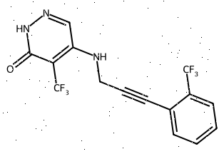 O=c1[nH]ncc(NCC#Cc2ccccc2C(F)(F)F)c1C(F)(F)F